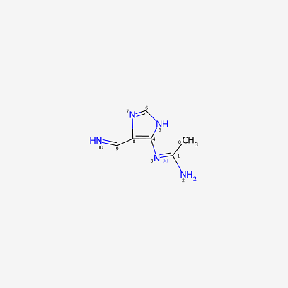 C/C(N)=N\c1[nH]cnc1C=N